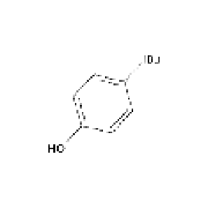 C[CH][C@@H](C)c1ccc(O)cc1